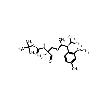 COc1cc(C)ccc1[C@H](C(C)C)[C@H](C)OC[C@@](C)(C=O)NC(=O)OC(C)(C)C